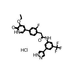 CCOc1cc(-c2ccc(CC(=O)Nc3cc(-c4cn[nH]c4)cc(C(F)(F)F)c3)c(F)c2)c[nH]c1=O.Cl